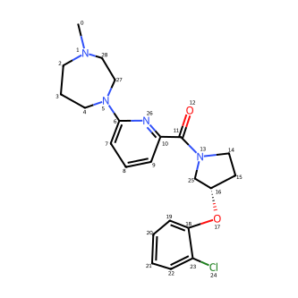 CN1CCCN(c2cccc(C(=O)N3CC[C@H](Oc4ccccc4Cl)C3)n2)CC1